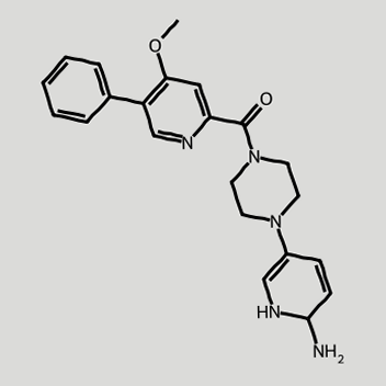 COc1cc(C(=O)N2CCN(C3=CNC(N)C=C3)CC2)ncc1-c1ccccc1